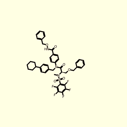 CN([C@H](COCc1ccccc1)C(=O)N(Cc1ccc(C2CCCCC2)cc1)c1ccc(C(=O)NOCc2ccccc2)cc1)S(=O)(=O)c1c(F)c(F)c(F)c(F)c1F